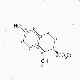 CCOC(=O)[C@@H]1CCc2cc(O)ccc2[C@H]1O